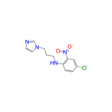 O=[N+]([O-])c1cc(Cl)ccc1NCCCn1ccnc1